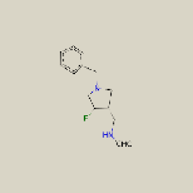 O=CNC[C@H]1CN(Cc2ccccc2)C[C@H]1F